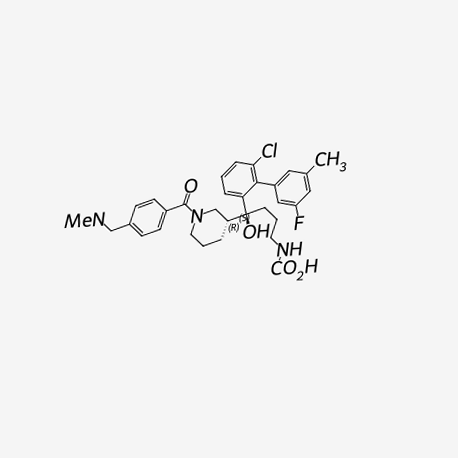 CNCc1ccc(C(=O)N2CCC[C@@H]([C@@](O)(CCCNC(=O)O)c3cccc(Cl)c3-c3cc(C)cc(F)c3)C2)cc1